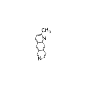 Cc1ccc2cc3cnccc3cc2n1